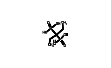 CCC(CC)(P(=O)(O)O)P(=O)(O)O